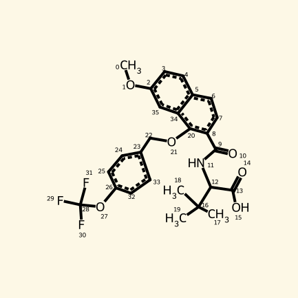 COc1ccc2ccc(C(=O)NC(C(=O)O)C(C)(C)C)c(OCc3ccc(OC(F)(F)F)cc3)c2c1